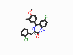 COc1ccc(C2=N[C@H](Cc3ccccc3Cl)C(=O)Nc3ccc(Cl)cc32)cc1C